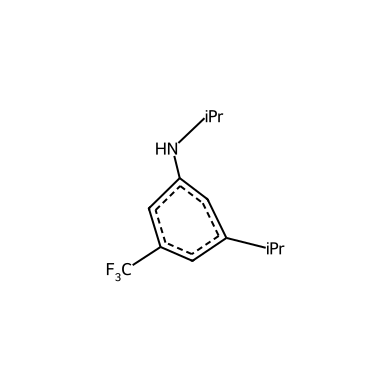 CC(C)Nc1cc(C(C)C)cc(C(F)(F)F)c1